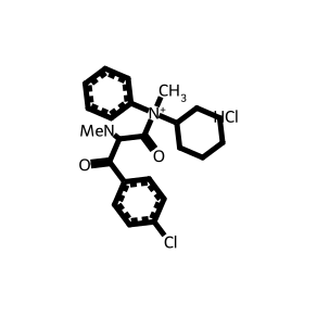 CNC(C(=O)c1ccc(Cl)cc1)C(=O)[N+](C)(c1ccccc1)C1CCCCC1.Cl